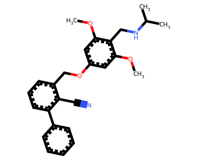 COc1cc(OCc2cccc(-c3ccccc3)c2C#N)cc(OC)c1CNC(C)C